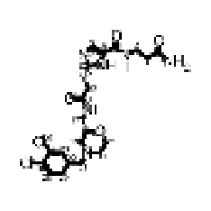 NC(=O)CCNC(=O)C1=CSC(SCC(=O)NC[C@H]2CN(CC3C=C(Cl)C(Cl)=CC3)CCO2)N1